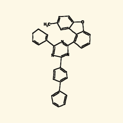 Cc1ccc2oc3cccc(-c4nc(C5=CCCC=C5)nc(-c5ccc(-c6ccccc6)cc5)n4)c3c2c1